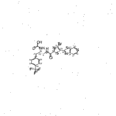 O=C(O)N[C@H](CNC(=O)c1nc(Br)c(-c2nc3ccncc3s2)s1)Cc1ccc(C(F)(F)F)cc1